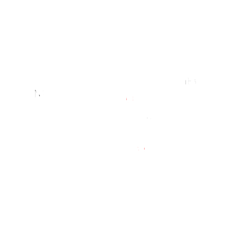 [CH2]C(C)CC(=O)OCCC#N